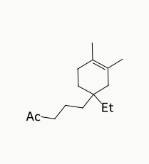 CCC1(CCCC(C)=O)CCC(C)=C(C)C1